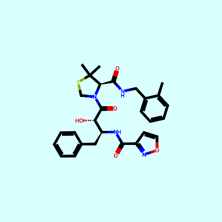 Cc1ccccc1CNC(=O)[C@H]1N(C(=O)[C@@H](O)[C@H](Cc2ccccc2)NC(=O)c2ccon2)CSC1(C)C